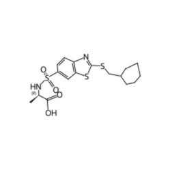 C[C@@H](NS(=O)(=O)c1ccc2nc(SCC3CCCCC3)sc2c1)C(=O)O